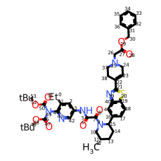 CCc1cc(NC(=O)C(=O)N2C[C@@H](C)CCC2c2ccc3sc(C4=CCN(CC(=O)OCc5ccccc5)CC4)nc3c2)cnc1N(C(=O)OC(C)(C)C)C(=O)OC(C)(C)C